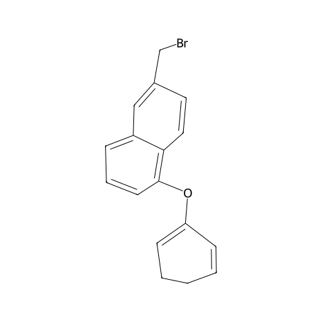 BrCc1ccc2c(OC3=CCCC=C3)cccc2c1